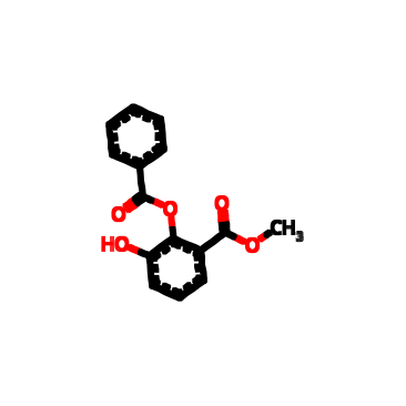 COC(=O)c1cccc(O)c1OC(=O)c1ccccc1